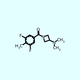 Cc1c(F)cc(C(=O)N2CC(N(C)C)C2)cc1F